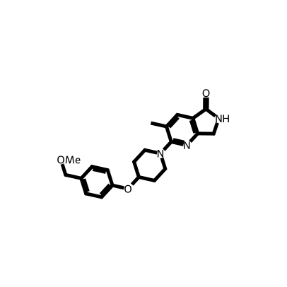 COCc1ccc(OC2CCN(c3nc4c(cc3C)C(=O)NC4)CC2)cc1